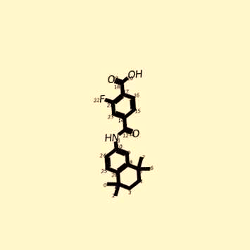 CC1(C)CCC(C)(C)c2cc(NC(=O)c3ccc(C(=O)O)c(F)c3)ccc21